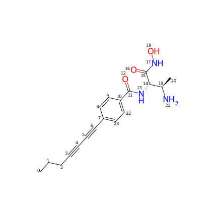 CCCC#CC#Cc1ccc(C(=O)N[C@H](C(=O)NO)[C@@H](C)N)cc1